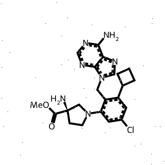 COC(=O)[C@@]1(N)CCN(c2cc(Cl)cc(C3CCC3)c2Cn2cnc3c(N)ncnc32)C1